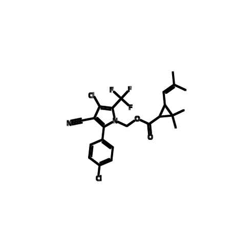 CC(C)=CC1C(C(=O)OCn2c(-c3ccc(Cl)cc3)c(C#N)c(Cl)c2C(F)(F)F)C1(C)C